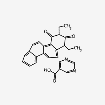 CCC1C(=O)c2c(ccc3c2ccc2ccccc23)C(CC)C1=O.O=C(O)c1cncnc1